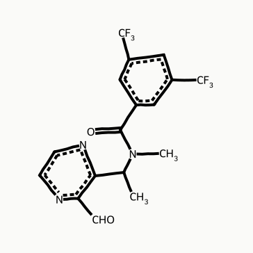 CC(c1nccnc1C=O)N(C)C(=O)c1cc(C(F)(F)F)cc(C(F)(F)F)c1